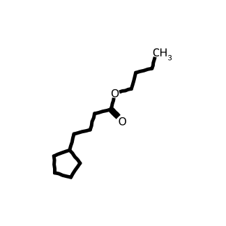 CCCCOC(=O)CCCC1CCCC1